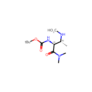 C[C@@H](NC(=O)O)[C@H](NC(=O)OC(C)(C)C)C(=O)N(C)C